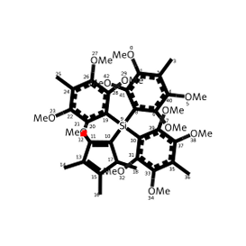 COc1c(C)c(OC)c(OC)c([Si](C2=C(C)C(C)=C(C)C2C)(c2c(OC)c(OC)c(C)c(OC)c2OC)c2c(OC)c(OC)c(C)c(OC)c2OC)c1OC